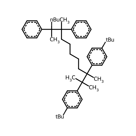 CCCCC(C)(c1ccccc1)C(C)(CCCCCC(C)(c1ccc(C(C)(C)C)cc1)C(C)(C)c1ccc(C(C)(C)C)cc1)c1ccccc1